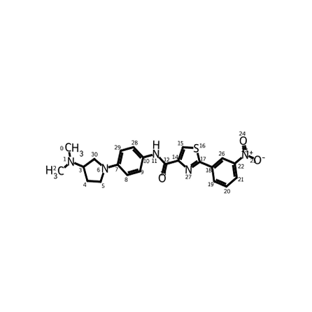 CN(C)C1CCN(c2ccc(NC(=O)c3csc(-c4cccc([N+](=O)[O-])c4)n3)cc2)C1